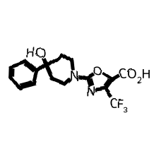 O=C(O)c1oc(N2CCC(O)(c3ccccc3)CC2)nc1C(F)(F)F